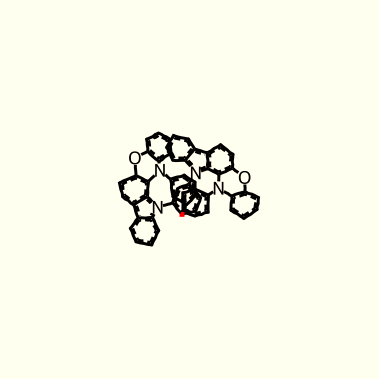 c1ccc(N2c3ccccc3Oc3ccc4c5ccccc5n(-c5cccc(-n6c7ccccc7c7ccc8c(c76)N(c6ccccc6)c6ccccc6O8)c5)c4c32)cc1